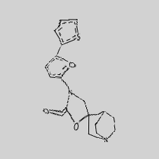 O=C1OC2(CN3CCC2CC3)CN1c1ccc(-c2cccs2)o1